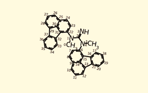 CN(C(=N)N(C)c1ccc2cccc3c2c1-c1ccccc1-3)c1ccc2cccc3c2c1-c1ccccc1-3